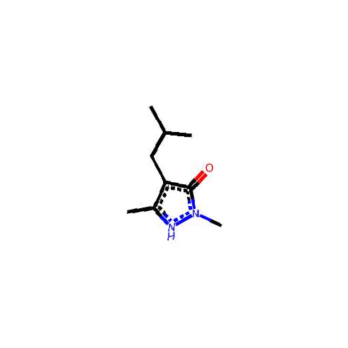 Cc1[nH]n(C)c(=O)c1CC(C)C